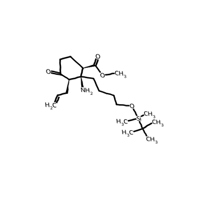 C=CC[C@H]1C(=O)CC[C@@H](C(=O)OC)[C@]1(N)CCCCO[Si](C)(C)C(C)(C)C